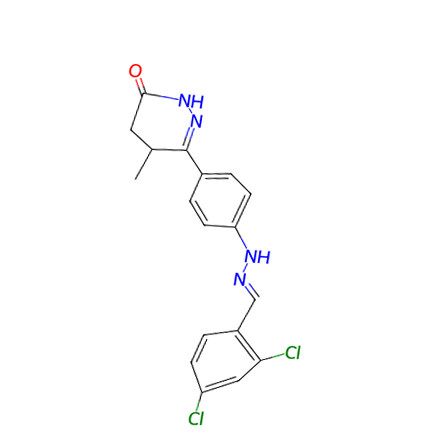 CC1CC(=O)NN=C1c1ccc(NN=Cc2ccc(Cl)cc2Cl)cc1